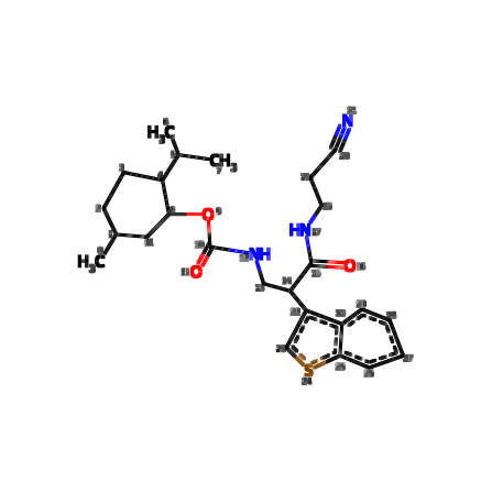 CC1CCC(C(C)C)C(OC(=O)NCC(C(=O)NCCC#N)c2csc3ccccc23)C1